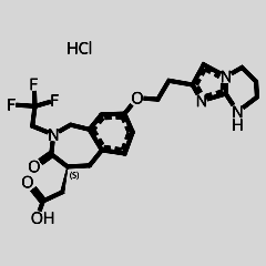 Cl.O=C(O)C[C@@H]1Cc2ccc(OCCc3cn4c(n3)NCCC4)cc2CN(CC(F)(F)F)C1=O